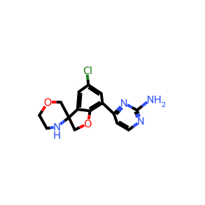 Nc1nccc(-c2cc(Cl)cc3c2OCC32COCCN2)n1